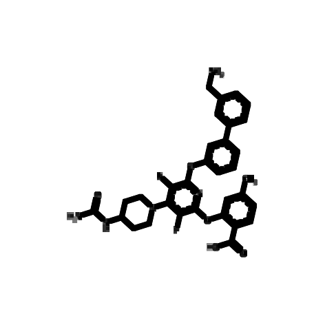 Cc1ccc(C(=O)O)c(Oc2nc(Oc3cccc(-c4cccc(CN)c4)c3)c(F)c(N3CCC(NC(N)=O)CC3)c2F)c1